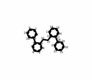 c1ccc(-c2ccccc2CCc2ccccc2-c2ccccc2)cc1